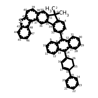 CC1(C)c2ccc(-c3c4ccccc4c(C4=CC=C(c5ccccc5)CC4)c4ccccc34)cc2-c2cc3c(ccc4sc5ccccc5c43)cc21